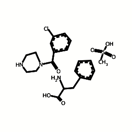 CS(=O)(=O)O.NC(Cc1ccccc1)C(=O)O.O=C(c1cccc(Cl)c1)N1CCNCC1